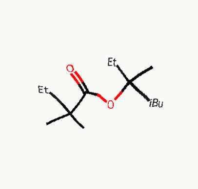 CCC(C)C(C)(CC)OC(=O)C(C)(C)CC